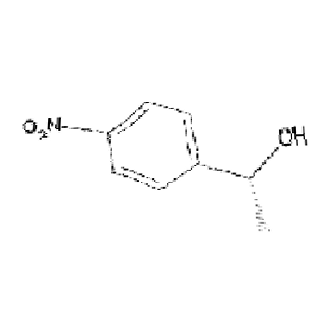 [CH2][C@@H](O)c1ccc([N+](=O)[O-])cc1